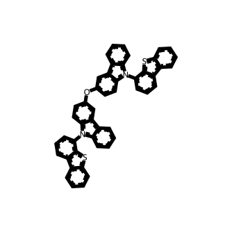 c1ccc2c(c1)sc1c(-n3c4ccccc4c4cc(Oc5ccc6c(c5)c5ccccc5n6-c5cccc6c5sc5ccccc56)ccc43)cccc12